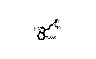 CC(=O)Oc1cccc2[nH]cc(CCN(C(C)C)C(C)C)c12